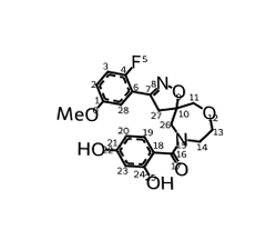 COc1ccc(F)c(C2=NOC3(COCCN(C(=O)c4ccc(O)cc4O)C3)C2)c1